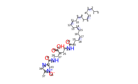 CC/C=C\C/C=C\C/C=C\C/C=C\C/C=C\C/C=C\CCC(=O)NCCC(CCNC(=O)c1c[n+]([O-])c(C)cn1)C(=O)O